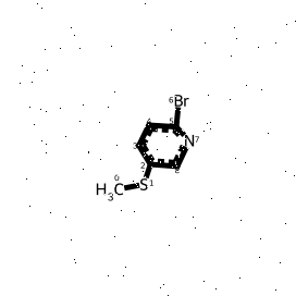 CSc1ccc(Br)nc1